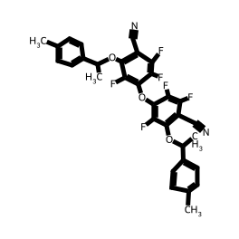 Cc1ccc(C(C)Oc2c(F)c(Oc3c(F)c(F)c(C#N)c(OC(C)c4ccc(C)cc4)c3F)c(F)c(F)c2C#N)cc1